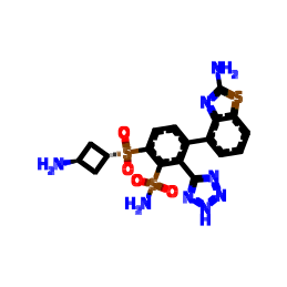 Nc1nc2c(-c3ccc(S(=O)(=O)[C@H]4C[C@H](N)C4)c(S(N)(=O)=O)c3-c3nn[nH]n3)cccc2s1